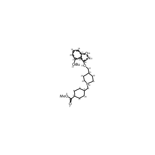 COC(=O)C1CCC(CN2CCC(COc3noc4cccc(OCC(C)C)c34)CC2)CC1